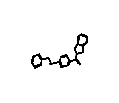 O=C(c1cnc(NCc2cccnc2)nc1)N1Cc2ccccc2C1